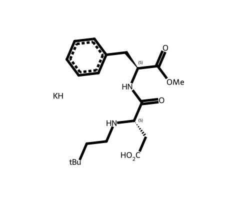 COC(=O)[C@H](Cc1ccccc1)NC(=O)[C@H](CC(=O)O)NCCC(C)(C)C.[KH]